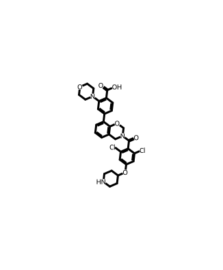 O=C(O)c1ccc(-c2cccc3c2OCN(C(=O)c2c(Cl)cc(OC4CCNCC4)cc2Cl)C3)cc1N1CCOCC1